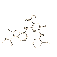 CCOC(=O)c1c(F)cc2c(Nc3nc(N[C@@H]4CCCC[C@@H]4N)c(F)cc3C(N)=O)cccn12